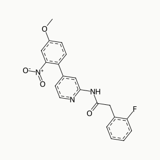 COc1ccc(-c2ccnc(NC(=O)Cc3ccccc3F)c2)c([N+](=O)[O-])c1